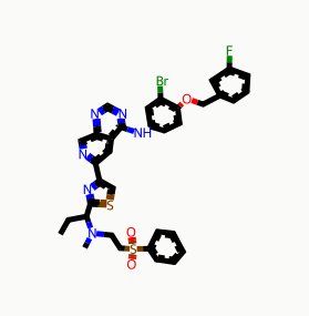 CCC(c1nc(-c2cc3c(Nc4ccc(OCc5cccc(F)c5)c(Br)c4)ncnc3cn2)cs1)N(C)CCS(=O)(=O)c1ccccc1